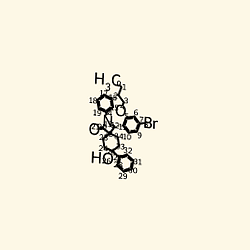 CCCCOc1cc(Br)ccc1[C@H]1N(c2ccccc2)C(=O)C12CCC(O)(c1ccccc1)CC2